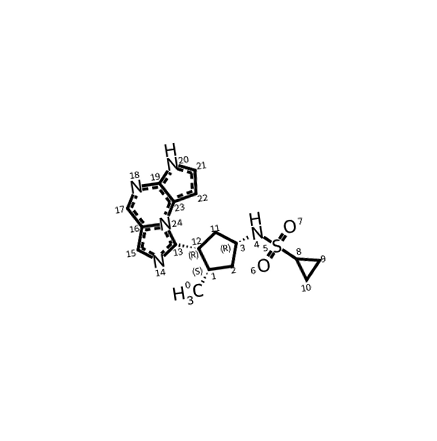 C[C@H]1C[C@@H](NS(=O)(=O)C2CC2)C[C@H]1c1ncc2cnc3[nH]ccc3n12